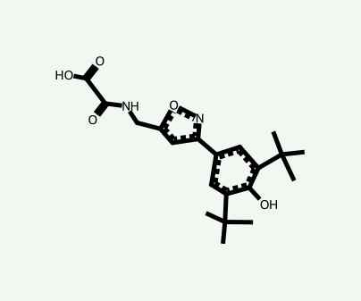 CC(C)(C)c1cc(-c2cc(CNC(=O)C(=O)O)on2)cc(C(C)(C)C)c1O